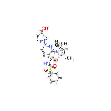 C[C@@H]1CN(c2nc(-n3ccc(O)n3)ccc2C(=O)NS(=O)(=O)c2ccccc2)C(C)(C)C1